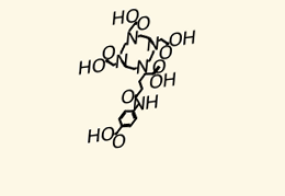 O=C(O)CN1CCN(CC(=O)O)CCN(C(CCC(=O)Nc2ccc(C(=O)O)cc2)C(=O)O)CCN(CC(=O)O)CC1